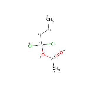 CCC[Si](Cl)(Cl)OC(C)=O